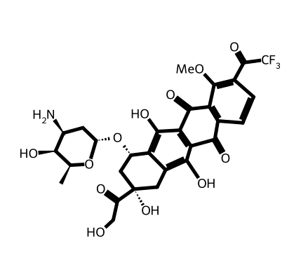 COc1c(C(=O)C(F)(F)F)ccc2c1C(=O)c1c(O)c3c(c(O)c1C2=O)C[C@@](O)(C(=O)CO)C[C@@H]3O[C@H]1C[C@H](N)[C@H](O)[C@H](C)O1